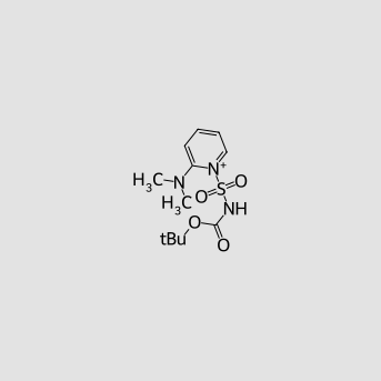 CN(C)c1cccc[n+]1S(=O)(=O)NC(=O)OC(C)(C)C